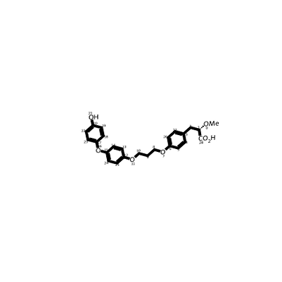 CO[C@@H](Cc1ccc(OCCCOc2ccc(Oc3ccc(O)cc3)cc2)cc1)C(=O)O